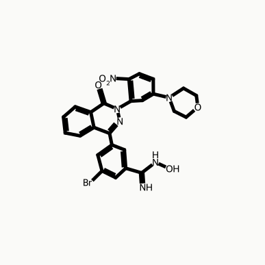 N=C(NO)c1cc(Br)cc(-c2nn(-c3cc(N4CCOCC4)ccc3[N+](=O)[O-])c(=O)c3ccccc23)c1